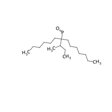 CCCCCCCC(CCCCCC)(P=O)C(C)CC